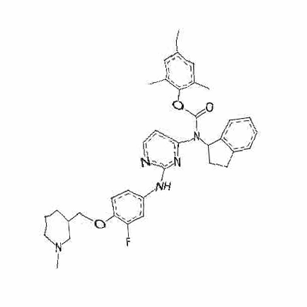 Cc1cc(C)c(OC(=O)N(c2ccnc(Nc3ccc(OCC4CCCN(C)C4)c(F)c3)n2)C2CCc3ccccc32)c(C)c1